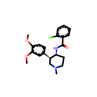 COc1ccc([C@@H]2CN(C)CC[C@@H]2NC(=O)c2ccccc2Cl)cc1OC